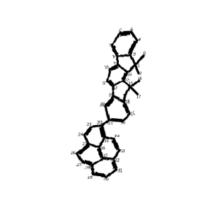 CC1(C)c2ccccc2-c2ccc3c(c21)C(C)(C)c1ccc(-c2ccc4ccc5cccc6ccc2c4c56)cc1-3